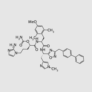 COc1cc(C)c(C[C@H](NC(=O)[C@@H](CCCn2ccnc2N)OC(N)=O)C(=O)N[C@@H](Cc2cn(C)cn2)c2nc(Cc3ccc(-c4ccccc4)cc3)no2)c(C)c1